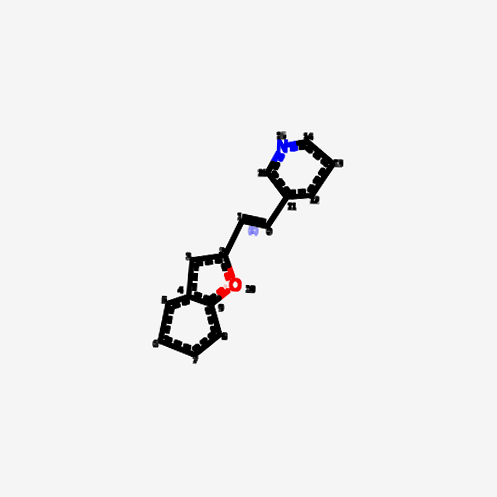 C(=C\c1cc2ccccc2o1)/c1cccnc1